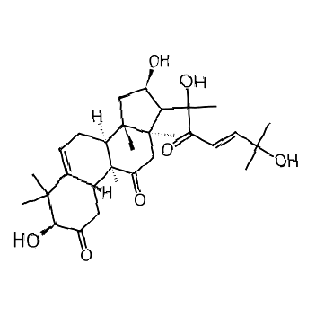 CC(C)(O)/C=C/C(=O)C(C)(O)C1[C@H](O)C[C@@]2(C)[C@@H]3CC=C4[C@@H](CC(=O)[C@@H](O)C4(C)C)[C@]3(C)C(=O)C[C@]12C